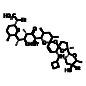 CCC[C@@H](C(=O)[C@@H](C)[C@@H](O)[C@H](C)C1O[C@@H](C(CC)C(=O)O)CC[C@@H]1C)[C@H]1O[C@]2(C=C[C@@H](NC3CCC3)[C@]3(CC[C@@](C)([C@H]4CC[C@](O)(CC)[C@H](C)O4)O3)O2)[C@H](C)C[C@@H]1C